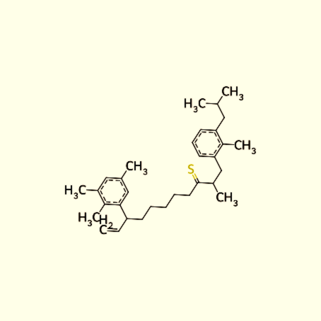 C=CC(CCCCCC(=S)C(C)Cc1cccc(CC(C)C)c1C)c1cc(C)cc(C)c1C